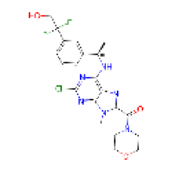 C[C@@H](Nc1nc(Cl)nc2c1nc(C(=O)N1CCOCC1)n2C)c1cccc(C(F)(F)CO)c1